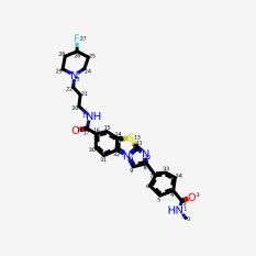 CNC(=O)c1ccc(-c2cn3c(n2)sc2cc(C(=O)NCCCN4CCC(F)CC4)ccc23)cc1